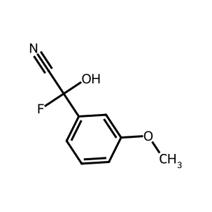 COc1cccc(C(O)(F)C#N)c1